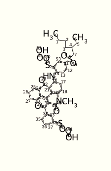 CCCCC(CC)CS(=O)(=O)c1ccc(Nc2ccc3c4c2C(=O)c2ccccc2-c4c(C(=O)c2cccc(SOOO)c2)c(=O)n3C)c(SOOO)c1